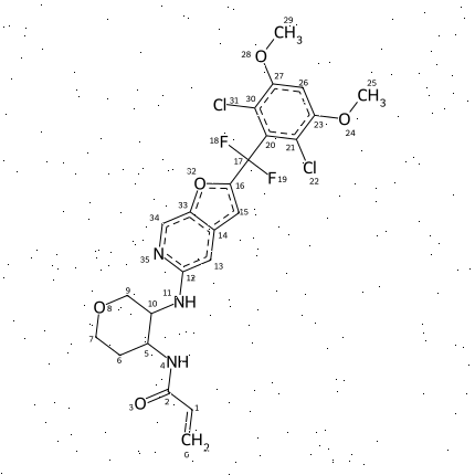 C=CC(=O)NC1CCOCC1Nc1cc2cc(C(F)(F)c3c(Cl)c(OC)cc(OC)c3Cl)oc2cn1